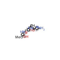 COc1ccc(NC(=O)Cc2cccc(C[C@@H](C)NC[C@H](O)c3ccc(N)nc3)c2)cc1O